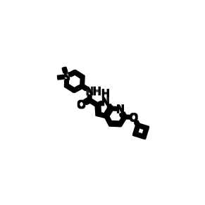 CS1(C)CCC(NC(=O)c2cc3ccc(OC4CCC4)nc3[nH]2)CC1